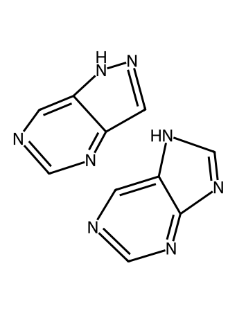 c1ncc2[nH]cnc2n1.c1ncc2[nH]ncc2n1